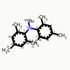 Cc1cc(C)c(N(c2c(C)cc(C)cc2C)C(C)(C)C)c(C)c1